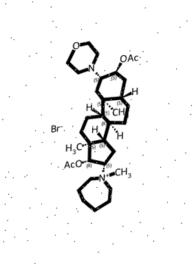 CC(=O)O[C@H]1C[C@@H]2CC[C@@H]3[C@H](CC[C@@]4(C)[C@H]3C[C@H]([N+]3(C)CCCCCC3)[C@@H]4OC(C)=O)[C@@]2(C)C[C@@H]1N1CCOCC1.[Br-]